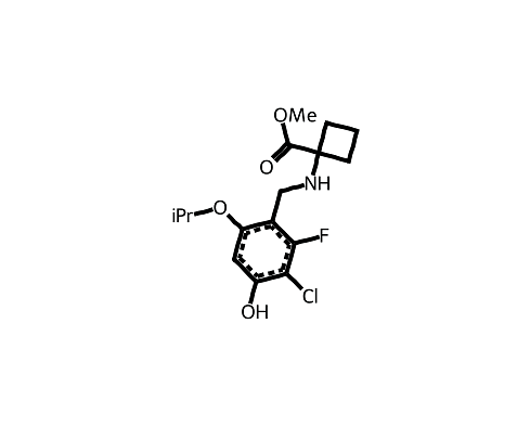 COC(=O)C1(NCc2c(OC(C)C)cc(O)c(Cl)c2F)CCC1